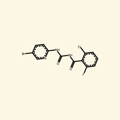 O=C(NC(=O)c1c(F)cccc1Cl)Nc1ccc(Br)cn1